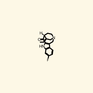 C/C=C1/CN2CC[C@H]1C(=O)c1[nH]c3cc(F)ccc3c1C2